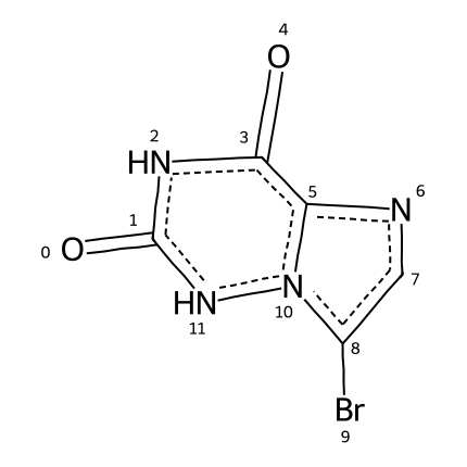 O=c1[nH]c(=O)c2ncc(Br)n2[nH]1